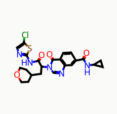 O=C(NC1CC1)c1ccc2c(=O)n(C(CC3CCOCC3)C(=O)Nc3ncc(Cl)s3)cnc2c1